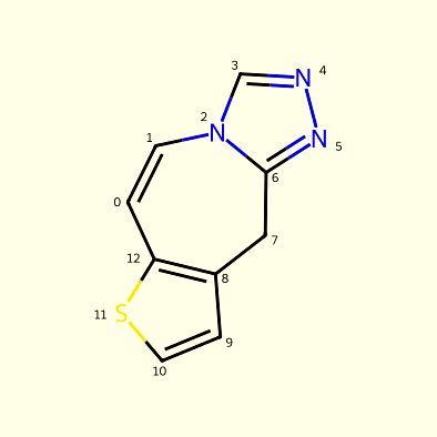 C1=Cn2cnnc2Cc2ccsc21